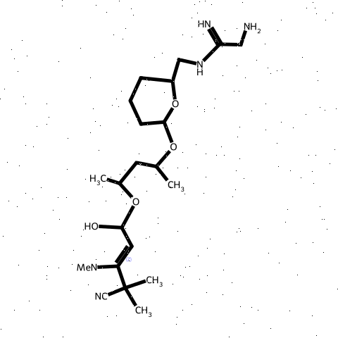 CN/C(=C\C(O)OC(C)CC(C)OC1CCCC(CNC(=N)CN)O1)C(C)(C)C#N